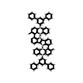 Cc1ccc2c3c1-c1cccc4c1n(c1c5cccc6c5n(c41)B1c4ccccc4N(c4cc(-c5ccccc5)cc(-c5ccccc5)c4)c4ccc(C)c-6c41)B3c1ccccc1N2c1cc(-c2ccccc2)cc(-c2ccccc2)c1